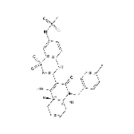 CS(=O)(=O)Nc1ccc2c(c1)S(=O)(=O)N=C(C1=C(O)[C@H]3CC=CC[C@@H]3N(Cc3ccc(F)cc3)C1=O)N2